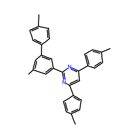 Cc1ccc(-c2cc(C)cc(-c3nc(-c4ccc(C)cc4)cc(-c4ccc(C)cc4)n3)c2)cc1